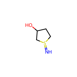 N=S1CCC(O)C1